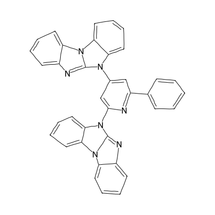 c1ccc(-c2cc(-n3c4ccccc4n4c5ccccc5nc34)cc(-n3c4ccccc4n4c5ccccc5nc34)n2)cc1